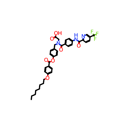 CCCCCCCCOc1ccc(C(=O)Oc2ccc(CN(CC(=O)O)C(=O)c3ccc(NC(=O)c4ccc(C(F)(F)F)cn4)cc3)cc2)cc1